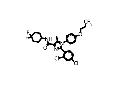 Cc1c(C(=O)NC2CCC(F)(F)CC2)nc(-c2ccc(Cl)cc2Cl)n1-c1ccc(OCCC(F)(F)F)cc1